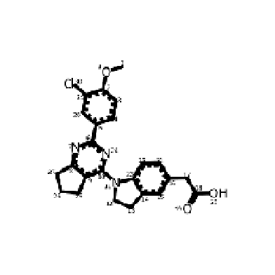 COc1ccc(-c2nc3c(c(N4CCc5cc(CC(=O)O)ccc54)n2)CCC3)cc1Cl